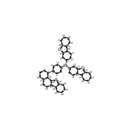 c1cc(-c2ccc(N(c3ccc4c(c3)oc3ccccc34)c3ccc4c(c3)oc3ccccc34)cc2)c2c(c1)ccc1c3ccccc3sc12